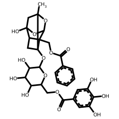 CC12CC3(O)OC(O1)C1(COC(=O)c4ccccc4)C3CC21OC1OC(COC(=O)c2cc(O)c(O)c(O)c2)C(O)C(O)C1O